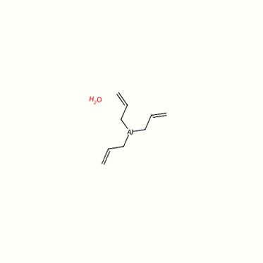 C=C[CH2][Al]([CH2]C=C)[CH2]C=C.O